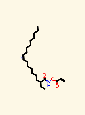 C=CC(=O)ONC(=O)C(CC)CCCCCC/C=C\CCCCCCCC